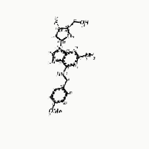 COc1ccc(CNc2nc(N)nc3c2ncn3[C@H]2C[C@H](F)[C@@H](CO)O2)cc1